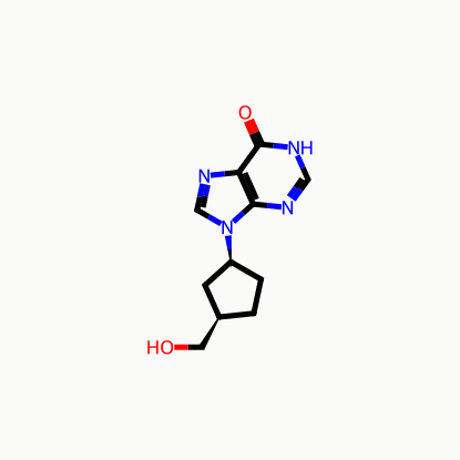 O=c1[nH]cnc2c1ncn2[C@H]1CC[C@@H](CO)C1